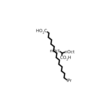 CC(C)CCCCCCCCCCCCCCC(=O)O.CCCCCCCCC(CCCCCCCC)C(=O)O